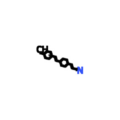 CCC1CCC(C=CC2CCC(C=CC#N)CC2)CC1